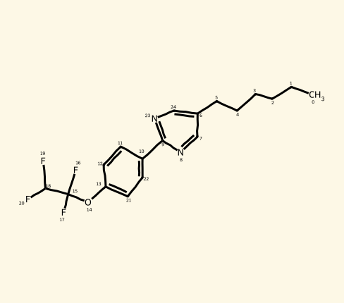 CCCCCCc1cnc(-c2ccc(OC(F)(F)C(F)F)cc2)nc1